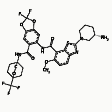 COc1ccc2nc(N3CCC[C@H](N)C3)sc2c1C(=O)Nc1cc2c(cc1C(=O)NC13CCC(C(F)(F)F)(CC1)OC3)OC(F)(F)O2